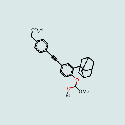 CCOC(OC)Oc1ccc(C#Cc2ccc(CC(=O)O)cc2)cc1C12CC3CC(CC(C3)C1)C2